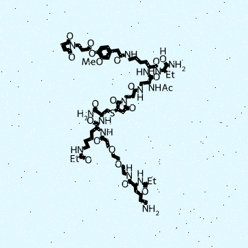 CCC(=O)NCCCCC(NC(=O)CCOCCOCCNC(=O)C(CCCCN)NC(=O)CC)C(=O)NC(CSC1CC(=O)N(CCC(=O)NCC(NC(C)=O)C(=O)NC(CCCCNC(=O)Cc2ccc(OC(=O)CCN3C(=O)C=CC3=O)c(OC)c2)C(=O)NC(CC)C(N)O)C1=O)C(N)=O